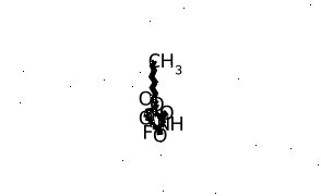 CCCCCCCC(=O)OC1COC2C(F)C(=O)NC(=O)N12